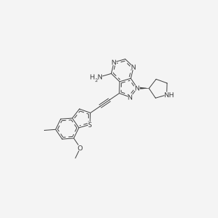 COc1cc(C)cc2cc(C#Cc3nn([C@H]4CCNC4)c4ncnc(N)c34)sc12